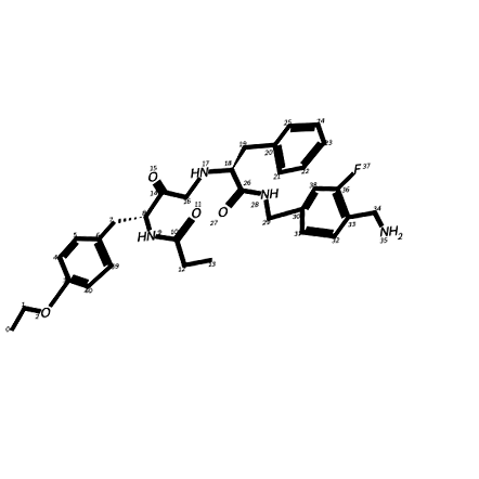 CCOc1ccc(C[C@@H](NC(=O)CC)C(=O)CN[C@@H](Cc2ccccc2)C(=O)NCc2ccc(CN)c(F)c2)cc1